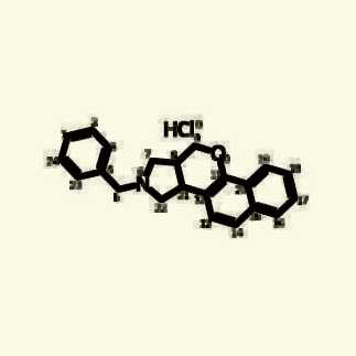 Cl.c1ccc(CN2CC3COc4c(ccc5ccccc45)C3C2)cc1